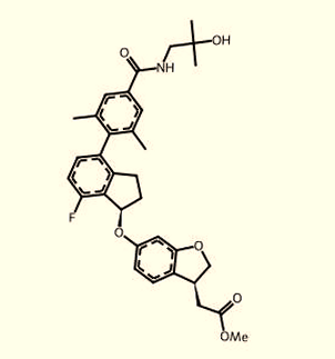 COC(=O)C[C@@H]1COc2cc(O[C@@H]3CCc4c(-c5c(C)cc(C(=O)NCC(C)(C)O)cc5C)ccc(F)c43)ccc21